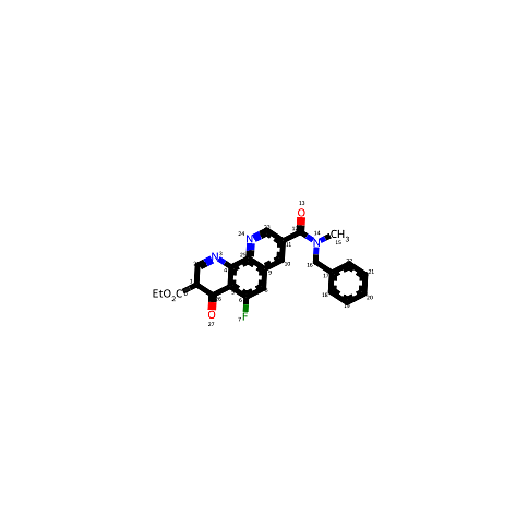 CCOC(=O)C1C=Nc2c(c(F)cc3cc(C(=O)N(C)Cc4ccccc4)cnc23)C1=O